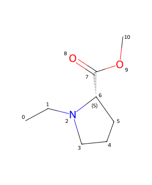 CCN1CCC[C@H]1C(=O)OC